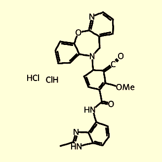 COC1=C(C(=O)Nc2cccc3[nH]c(C)nc23)C=CC(N2Cc3cccnc3Oc3ccccc32)C1=C=O.Cl.Cl